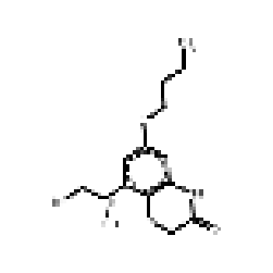 CCCCOc1cc2c(c([C@@H](O)CBr)c1)OCC(=O)N2